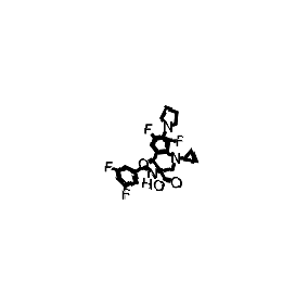 O=C(O)C1(N=Cc2cc(F)cc(F)c2)CN(C2CC2)c2c(cc(F)c(N3CCCC3)c2F)C1=O